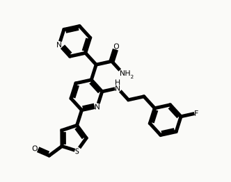 NC(=O)C(c1cccnc1)c1ccc(-c2csc(C=O)c2)nc1NCCc1cccc(F)c1